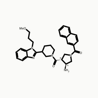 COCCCn1c(C2CCCN(C(=O)[C@@H]3CN(C(=O)c4ccc5ccccc5c4)C[C@H]3N)C2)nc2ccccc21